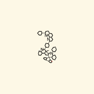 c1ccc(-c2ccc3ccc4ccc(-c5ccc(-c6nc7ccccc7c7cc8c(cc67)N(c6ccccc6)c6ccccc6C86c7ccccc7-c7ccccc76)cc5)nc4c3n2)cc1